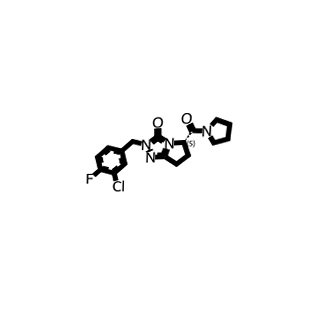 O=C([C@@H]1CCc2nn(Cc3ccc(F)c(Cl)c3)c(=O)n21)N1CCCC1